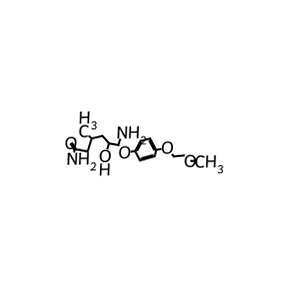 COCCOc1ccc(OC(N)C(O)CC(C)CC(N)=O)cc1